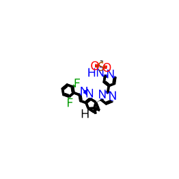 CC1(C)[C@H]2CC[C@]1(c1ccnc(-c3ccnc(NS(C)(=O)=O)c3)n1)c1nnc(-c3c(F)cccc3F)cc12